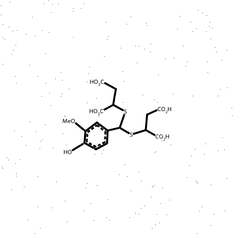 COc1cc(C(SC(CC(=O)O)C(=O)O)SC(CC(=O)O)C(=O)O)ccc1O